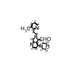 Cc1cccnc1CCN1Cc2nccc(N3CCOCC3)c2C1C=O